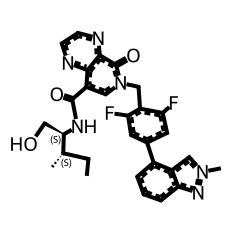 CC[C@H](C)[C@@H](CO)NC(=O)c1cn(Cc2c(F)cc(-c3cccc4nn(C)cc34)cc2F)c(=O)c2nccnc12